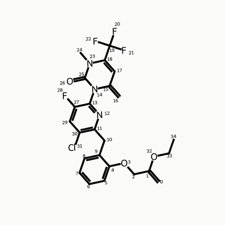 C=C(COc1ccccc1Cc1nc(N2C(=C)C=C(C(F)(F)F)N(C)C2=O)c(F)cc1Cl)OCC